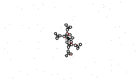 c1ccc(-c2cccc(-c3ccccc3)c2-c2cc(-n3c4ccc(-c5ccc6c(c5)c5ccccc5n6-c5ccccc5)cc4c4cc(-c5ccc6c(c5)c5ccccc5n6-c5ccccc5)ccc43)nc(-c3cccc(-n4c5ccc(-c6ccc7c(c6)c6ccccc6n7-c6ccccc6)cc5c5cc(-c6ccc7c(c6)c6ccccc6n7-c6ccccc6)ccc54)c3)n2)cc1